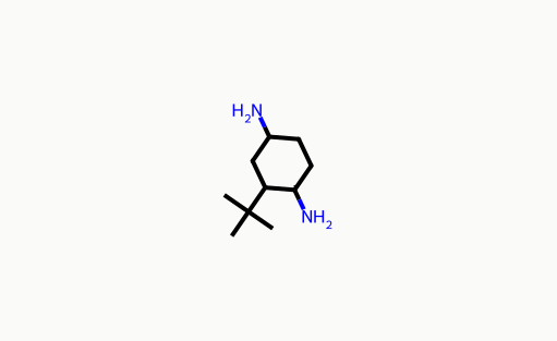 CC(C)(C)C1CC(N)CC[C]1N